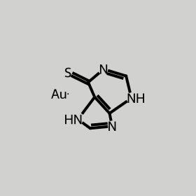 S=c1nc[nH]c2nc[nH]c12.[Au]